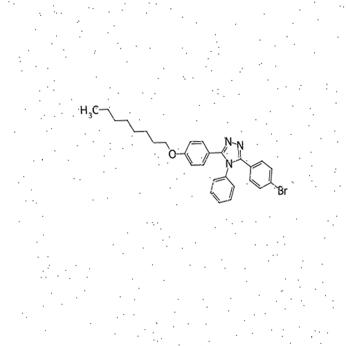 CCCCCCCCOc1ccc(-c2nnc(-c3ccc(Br)cc3)n2-c2ccccc2)cc1